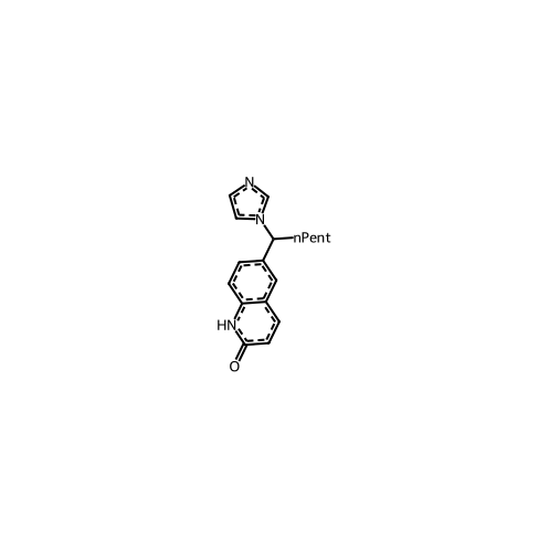 CCCCCC(c1ccc2[nH]c(=O)ccc2c1)n1ccnc1